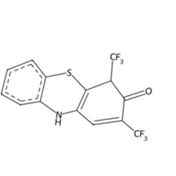 O=C1C(C(F)(F)F)=CC2=C(Sc3ccccc3N2)C1C(F)(F)F